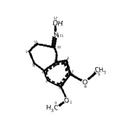 COc1cc2c(cc1OC)C(=NO)CCC2